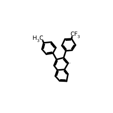 Cc1ccc(-c2cc3ccccc3[c]c2-c2ccc(C(F)(F)F)cc2)cc1